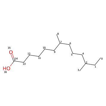 CCC(C)CCCC(C)CCCCCC(=O)O